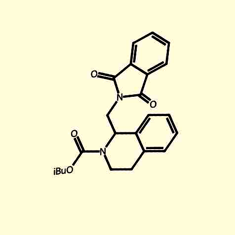 CC(C)COC(=O)N1CCc2ccccc2C1CN1C(=O)c2ccccc2C1=O